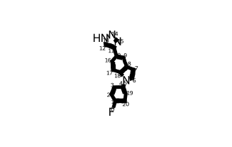 Fc1ccc(-n2ccc3cc(-c4c[nH]nn4)ccc32)cc1